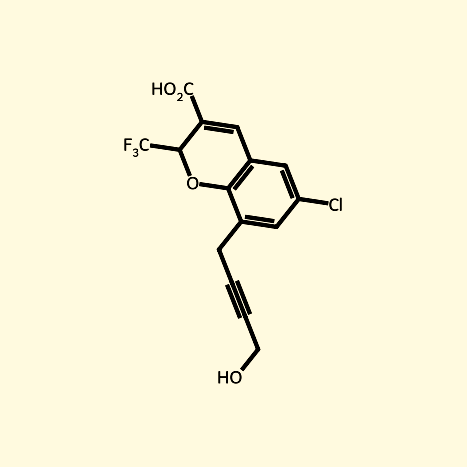 O=C(O)C1=Cc2cc(Cl)cc(CC#CCO)c2OC1C(F)(F)F